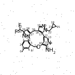 Cc1ccc2c(c1)[C@@H](C)Oc1cc(cnc1N)-c1c(cnn1CC1CC1)Cc1cc(C(F)F)nn1-2